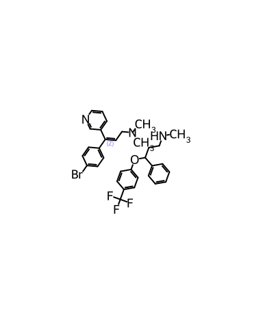 CN(C)C/C=C(/c1ccc(Br)cc1)c1cccnc1.CNCCC(Oc1ccc(C(F)(F)F)cc1)c1ccccc1